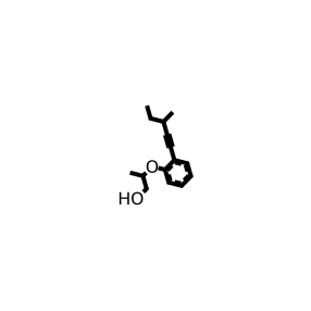 CCC(C)C#Cc1ccccc1OC(C)CO